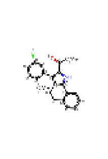 COC(=O)c1[nH]c2c(c1-c1cc(Cl)ccc1OC)CCc1ccccc1-2